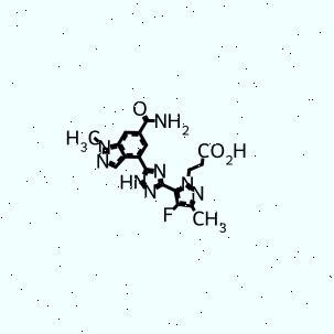 Cc1nn(CCC(=O)O)c(-c2n[nH]c(-c3cc(C(N)=O)cc4c3cnn4C)n2)c1F